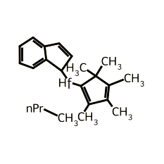 CC1=C(C)C(C)(C)[C]([Hf][CH]2C=Cc3ccccc32)=C1C.CCCC